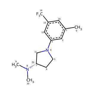 Cc1cc(N2CC[C@H](N(C)C)C2)cc(C(F)(F)F)c1